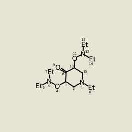 CCN1CC(ON(CC)CC)C(=O)C(ON(CC)CC)C1